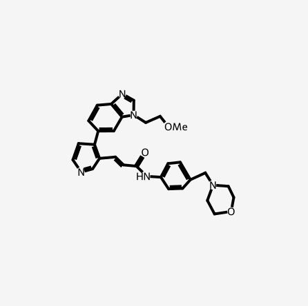 COCCn1cnc2ccc(-c3ccncc3C=CC(=O)Nc3ccc(CN4CCOCC4)cc3)cc21